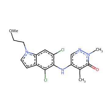 COCCn1ccc2c(Cl)c(Nc3cnn(C)c(=O)c3C)c(Cl)cc21